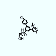 CC(C)(CO)NC(=O)c1cc(-c2ccc(Cl)cc2)cc(-c2cncnc2C(C)(C)C)c1